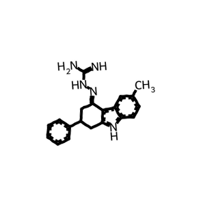 Cc1ccc2[nH]c3c(c2c1)C(=NNC(=N)N)CC(c1ccccc1)C3